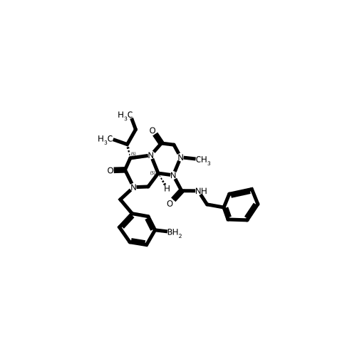 Bc1cccc(CN2C[C@H]3N(C(=O)CN(C)N3C(=O)NCc3ccccc3)[C@@H](C(C)CC)C2=O)c1